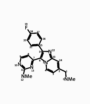 CNCc1ccn2c(-c3ccnc(NC)n3)c(-c3ccc(F)cc3)nc2c1